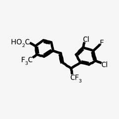 O=C(O)c1ccc(C=CC(c2cc(Cl)c(F)c(Cl)c2)C(F)(F)F)cc1C(F)(F)F